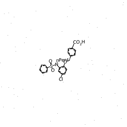 CCCCCN(c1cc(Cl)ccc1OCc1ccc(C(=O)O)cc1)S(=O)(=O)c1ccccc1